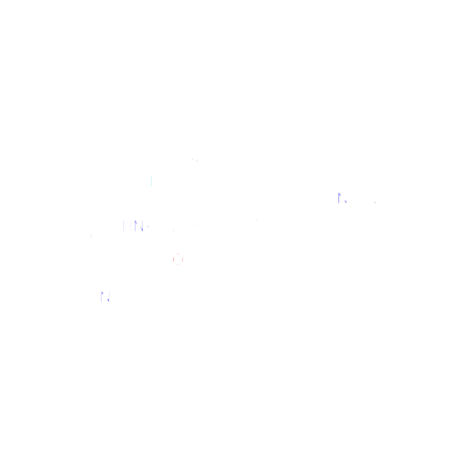 O=C(Nc1cccnc1)c1cc(C#Cc2ccccn2)ccc1F